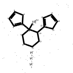 [H-].[H-].[H-].[Hf+3][C]1(C2=CC=CC2)CCCCC1C1=CC=CC1